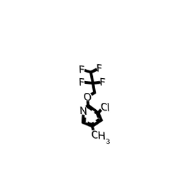 Cc1cnc(OCC(F)(F)C(F)F)c(Cl)c1